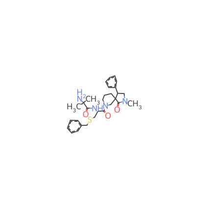 CN1CC(c2ccccc2)C2(CCCN(C(=O)C(CSCc3ccccc3)NC(=O)C(C)(C)N)C2)C1=O